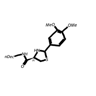 CCCCCCCCCCNC(=O)[C@@H]1CSC(c2ccc(OC)c(OC)c2)N1